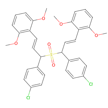 COc1cccc(OC)c1C=CC(c1ccc(Cl)cc1)S(=O)(=O)C(C=Cc1c(OC)cccc1OC)c1ccc(Cl)cc1